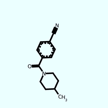 CC1CCN(C(=O)c2ccc(C#N)cc2)CC1